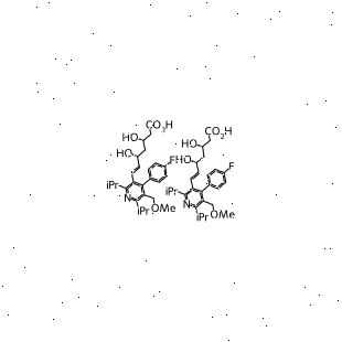 COCc1c(C(C)C)nc(C(C)C)c(/C=C/[C@@H](O)C[C@@H](O)CC(=O)O)c1-c1ccc(F)cc1.COCc1c(C(C)C)nc(C(C)C)c(/C=C/[C@@H](O)C[C@@H](O)CC(=O)O)c1-c1ccc(F)cc1